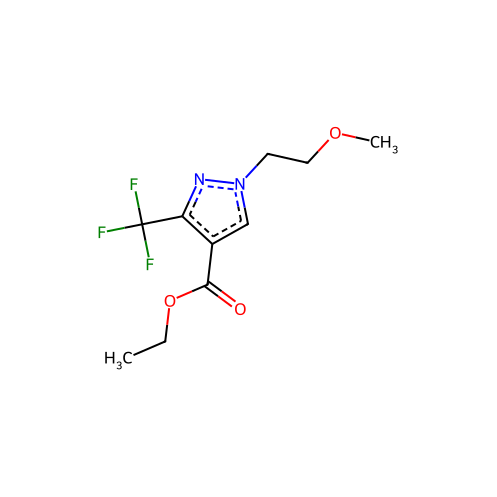 CCOC(=O)c1cn(CCOC)nc1C(F)(F)F